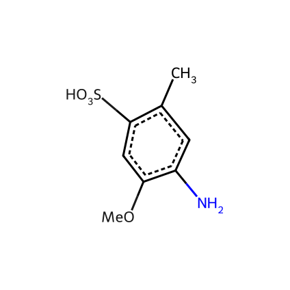 COc1cc(S(=O)(=O)O)c(C)cc1N